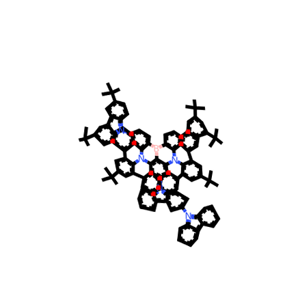 CC(C)(C)c1cc(-c2ccc3c(c2)N(c2c(-c4ccccc4)cc(C(C)(C)C)cc2-c2ccccc2)c2cc(-n4c5ccccc5c5cc(-n6c7ccccc7c7ccccc76)ccc54)cc4c2B3c2ccc(-n3c5ccc(C(C)(C)C)cc5c5cc(C(C)(C)C)ccc53)cc2N4c2c(-c3ccccc3)cc(C(C)(C)C)cc2-c2ccccc2)cc(C(C)(C)C)c1